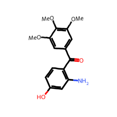 COc1cc(C(=O)c2ccc(O)cc2N)cc(OC)c1OC